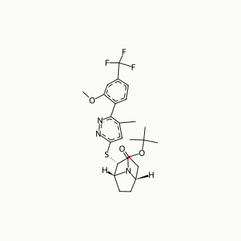 COc1cc(C(F)(F)F)ccc1-c1nnc(S[C@@H]2CC[C@@H]3CC[C@H]2N3C(=O)OC(C)(C)C)cc1C